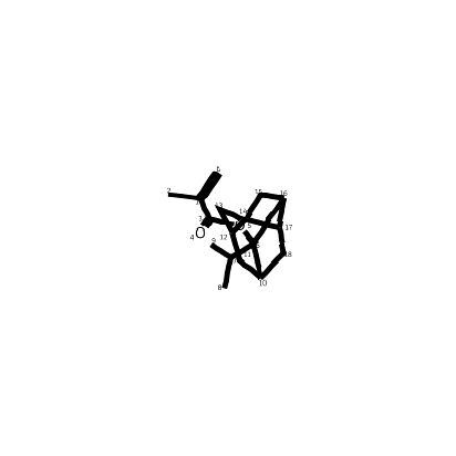 C=C(C)C(=O)OC1(C(C)C)C2CC3CC34CC1C4C2